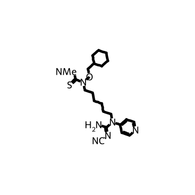 CNC(=S)N(CCCCCCN(C(N)=NC#N)c1ccncc1)OCC1CCCCC1